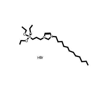 Br.CCCCCCCCCCCCN1C=CN(CCC[Si](OCC)(OCC)OCC)C1